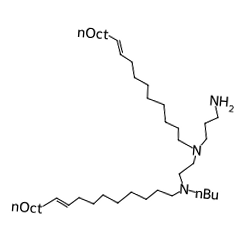 CCCCCCCC/C=C/CCCCCCCCN(CCCC)CCN(CCCN)CCCCCCCC/C=C/CCCCCCCC